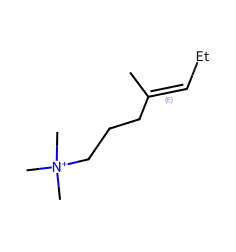 CC/C=C(\C)CCC[N+](C)(C)C